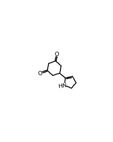 O=C1CC(=O)CC(C2=CCCN2)C1